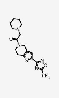 O=C(CN1CCCCC1)N1CCc2sc(-c3noc(C(F)(F)F)n3)cc2C1